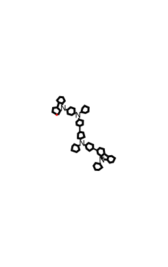 c1ccc(N(c2ccc(-c3ccc(N(c4ccccc4)c4ccc(-n5c6ccccc6c6ccccc65)cc4)cc3)cc2)c2ccc(-c3ccc4c5ccccc5n(-c5ccccc5)c4c3)cc2)cc1